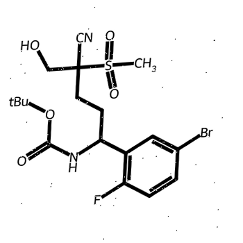 CC(C)(C)OC(=O)NC(CCC(C#N)(CO)S(C)(=O)=O)c1cc(Br)ccc1F